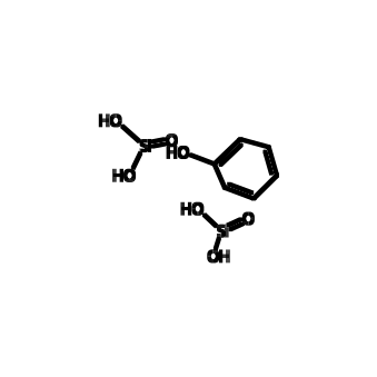 O=[Si](O)O.O=[Si](O)O.Oc1ccccc1